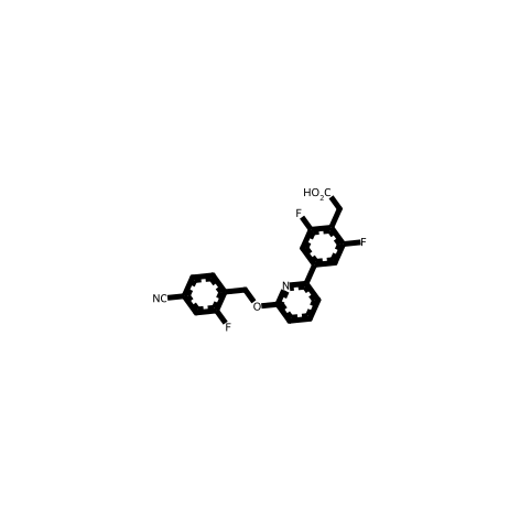 N#Cc1ccc(COc2cccc(-c3cc(F)c(CC(=O)O)c(F)c3)n2)c(F)c1